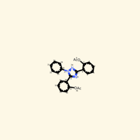 CC(=O)Oc1ccccc1-c1nc(-c2ccccc2OC(C)=O)n(-c2ccccc2)n1